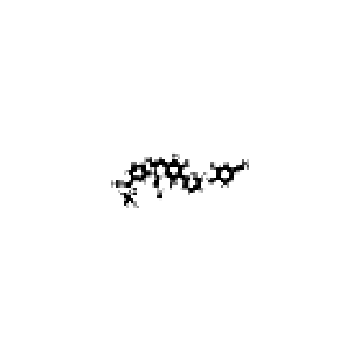 COCCn1c(Cc2cc(F)c(-c3cccc(OCc4ccc(C#N)cc4F)n3)c(F)c2F)nc2ccc(C(O)OC(C)(C)C)cc21